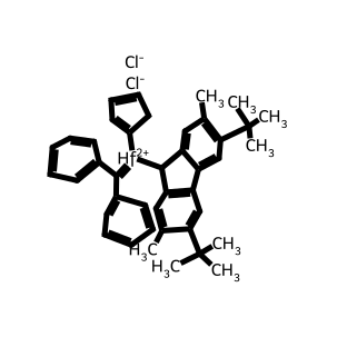 Cc1cc2c(cc1C(C)(C)C)-c1cc(C(C)(C)C)c(C)cc1[CH]2[Hf+2]([C]1=CC=CC1)=[C](c1ccccc1)c1ccccc1.[Cl-].[Cl-]